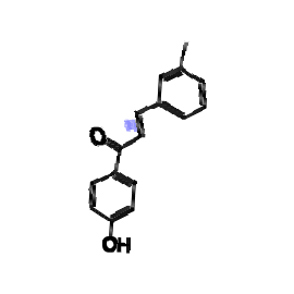 Cc1cccc(/C=C/C(=O)c2ccc(O)cc2)c1